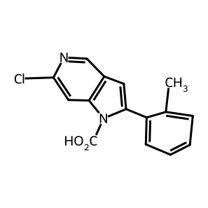 Cc1ccccc1-c1cc2cnc(Cl)cc2n1C(=O)O